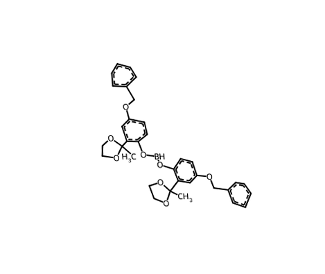 CC1(c2cc(OCc3ccccc3)ccc2OBOc2ccc(OCc3ccccc3)cc2C2(C)OCCO2)OCCO1